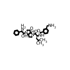 CC(C)C[C@H](NC(=O)c1cccc(CN)c1)C(=O)N1CC[C@@H]2[C@H]1C(=O)CN2C(=O)[C@H](N)c1ccccc1